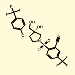 N#Cc1cc(C(F)(F)F)ccc1S(=O)(=O)N1C[C@H](Oc2ccc(C(F)(F)F)cc2)[C@@](O)(CO)C1